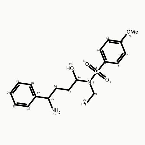 COc1ccc(S(=O)(=O)N(CC(C)C)C(O)CCC(N)c2ccccc2)cc1